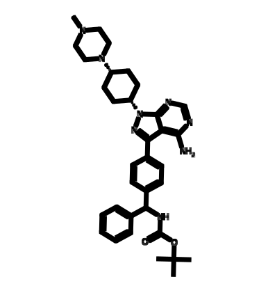 CN1CCN([C@H]2CC[C@@H](n3nc(-c4ccc(C(NC(=O)OC(C)(C)C)c5ccccc5)cc4)c4c(N)ncnc43)CC2)CC1